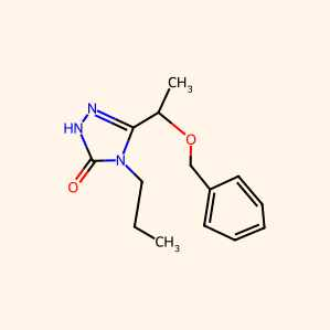 CCCn1c(C(C)OCc2ccccc2)n[nH]c1=O